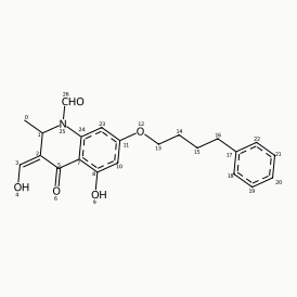 CC1C(=CO)C(=O)c2c(O)cc(OCCCCc3ccccc3)cc2N1C=O